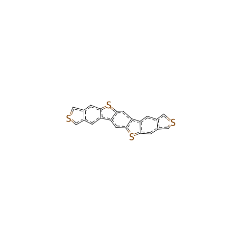 c1scc2cc3c(cc12)sc1cc2c(cc13)sc1cc3cscc3cc12